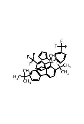 [CH2]=[Zr]([C]1=CC=CC1)([c]1cccc(C(F)(F)F)c1)([c]1cccc(C(F)(F)F)c1)[c]1c(C(C)(C)C)ccc2c1Cc1cc(C(C)(C)C)ccc1-2